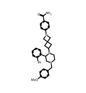 COc1ccc(CN2CCN(C3CC4(C3)CN(c3ccc(C(N)=O)cc3)C4)C(c3ccccc3C(C)C)C2)cc1